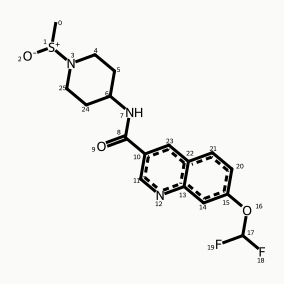 C[S+]([O-])N1CCC(NC(=O)c2cnc3cc(OC(F)F)ccc3c2)CC1